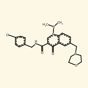 CN(C)n1cc(C(=O)NCc2ccc(Cl)cc2)c(=O)c2cc(CN3CCOCC3)ccc21